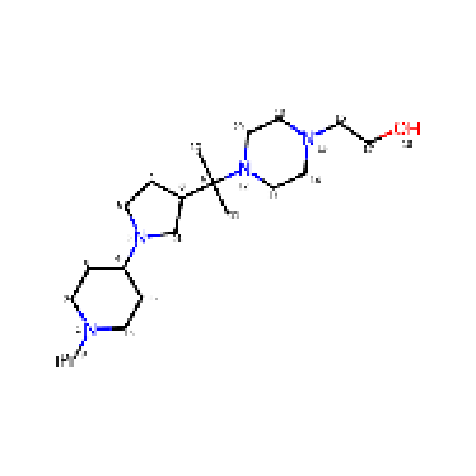 CC(C)N1CCC(N2CCC(C(C)(C)N3CCN(CCO)CC3)C2)CC1